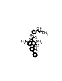 CNCC(=O)N1CCC(NC(=O)c2sc3c(N)ccc4c3c2C(N)C(=O)C4(N)c2cccc(-c3ccccc3)c2)C1